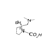 CN(C)C[C@@]1(C(C)(C)C)CCCN1C(=O)O